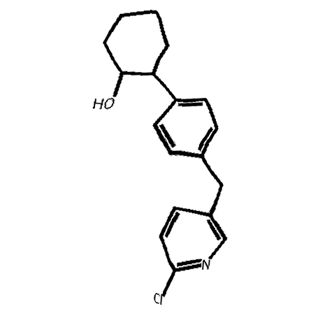 OC1CCCCC1c1ccc(Cc2ccc(Cl)nc2)cc1